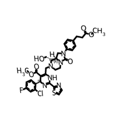 COC(=O)CCc1ccc(N2C[C@@H]3[C@@H](CO)N(CC4=C(C(=O)OC)[C@H](c5ccc(F)cc5Cl)N=C(c5nccs5)N4)CCN3C2=O)cc1